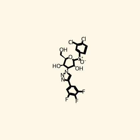 [O-][S+](c1ccc(Cl)c(Cl)c1)C1O[C@H](CO)[C@H](O)[C@H](n2cc(-c3cc(F)c(F)c(F)c3)nn2)[C@H]1O